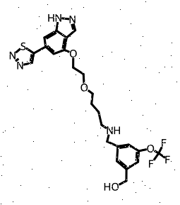 OCc1cc(CNCCCCOCCOc2cc(-c3cnns3)cc3[nH]ncc23)cc(OC(F)(F)F)c1